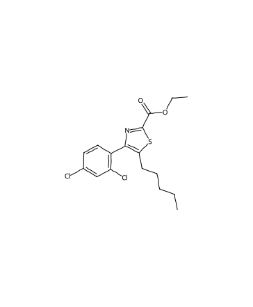 CCCCCc1sc(C(=O)OCC)nc1-c1ccc(Cl)cc1Cl